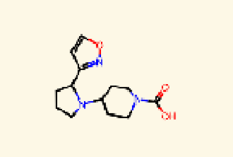 O=C(O)N1CCC(N2CCCC2c2ccon2)CC1